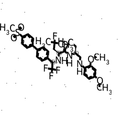 CC[C@@H](CNc1ccc(OC)cc1OC)NC(=O)[C@H](CC(C)(C)F)N[C@@H](c1ccc(-c2ccc(S(C)(=O)=O)cc2)cc1)C(F)(F)F